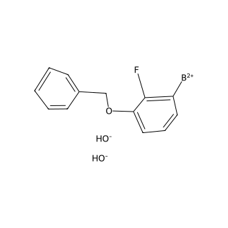 [B+2]c1cccc(OCc2ccccc2)c1F.[OH-].[OH-]